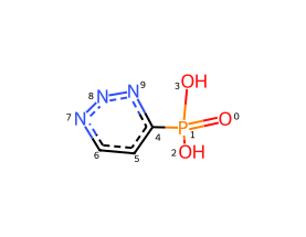 O=P(O)(O)c1ccnnn1